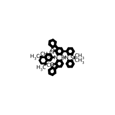 Cc1cc2c(cc1N1c3c(ccc4c3oc3ccccc34)B3c4c(cc5c(oc6ccccc65)c41)-c1cccc4c1N3c1ccccc1[Si]4(C)C)C(C)(C)CCC2(C)C